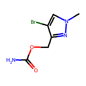 Cn1cc(Br)c(COC(N)=O)n1